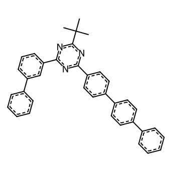 CC(C)(C)c1nc(-c2ccc(-c3ccc(-c4ccccc4)cc3)cc2)nc(-c2cccc(-c3ccccc3)c2)n1